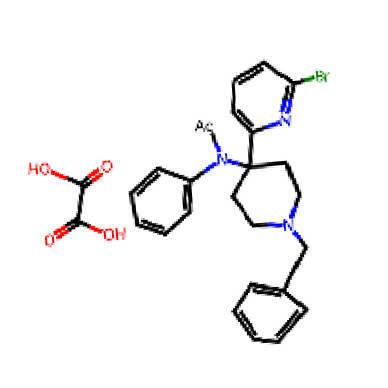 CC(=O)N(c1ccccc1)C1(c2cccc(Br)n2)CCN(Cc2ccccc2)CC1.O=C(O)C(=O)O